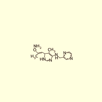 CC1=C(NCc2cnccn2)N=CNC1/C=C(\C)ON